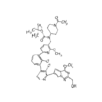 COc1nc(-c2cccc(-c3ccnc(-c4cc5c(OC)nc(CO)nn5c4)c3Cl)c2Cl)ccc1CN(C(=O)OC(C)(C)C)C1CCN(C(C)=O)CC1